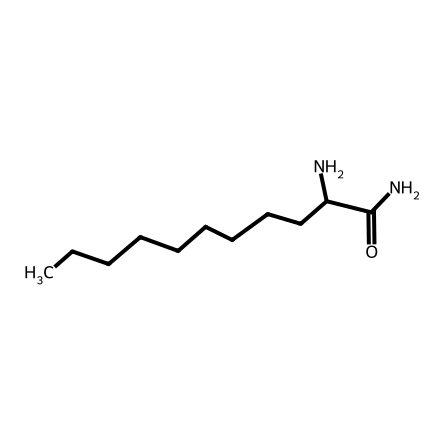 CCCCCCCCCC(N)C(N)=O